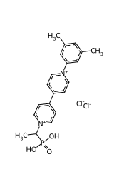 Cc1cc(C)cc(-[n+]2ccc(-c3cc[n+](C(C)P(=O)(O)O)cc3)cc2)c1.[Cl-].[Cl-]